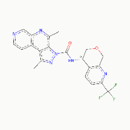 Cc1nn(C(=O)N[C@@H]2COCc3nc(C(F)(F)F)ccc32)c2c(C)nc3cnccc3c12